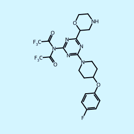 O=C(N(C(=O)C(F)(F)F)c1nc(C2CNCCO2)nc(N2CCC(Oc3ccc(F)cc3)CC2)n1)C(F)(F)F